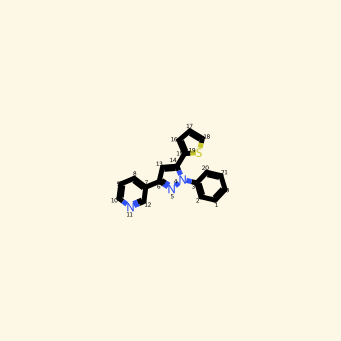 c1ccc(-n2nc(-c3cccnc3)cc2-c2cccs2)cc1